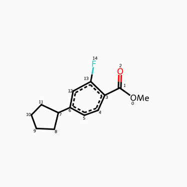 COC(=O)c1ccc(C2CCCC2)cc1F